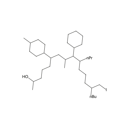 CCCCC(CI)CCCC(CCC)C(C(C)CC(CCCC(C)O)C1CCC(C)CC1)C1CCCCC1